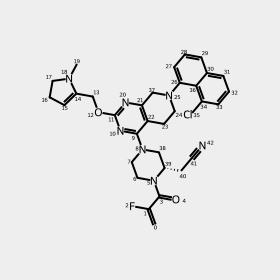 C=C(F)C(=O)N1CCN(c2nc(OCC3=CCCN3C)nc3c2CCN(c2cccc4cccc(Cl)c24)C3)C[C@@H]1CC#N